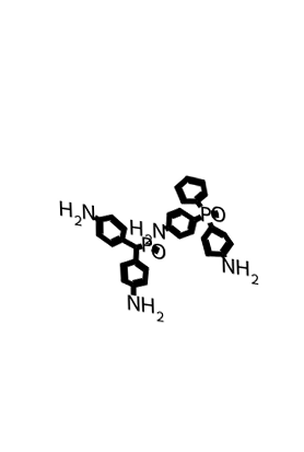 Nc1ccc(C(P=O)c2ccc(N)cc2)cc1.Nc1ccc(P(=O)(c2ccccc2)c2ccc(N)cc2)cc1